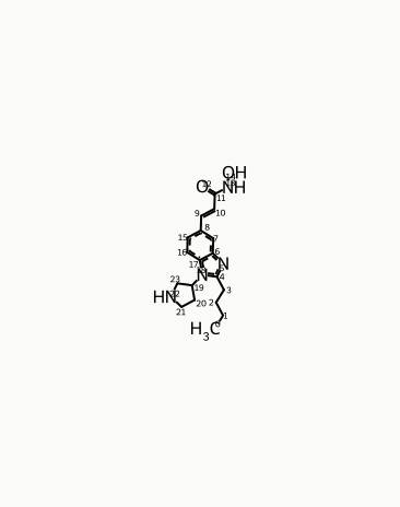 CCCCc1nc2cc(C=CC(=O)NO)ccc2n1C1CCNC1